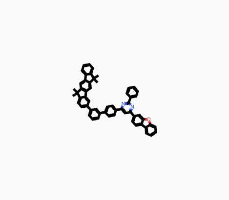 CC1(C)c2ccccc2-c2cc3c(cc21)-c1cc(-c2cccc(-c4ccc(-c5cc(-c6ccc7c(c6)oc6ccccc67)nc(-c6ccccc6)n5)cc4)c2)ccc1C3(C)C